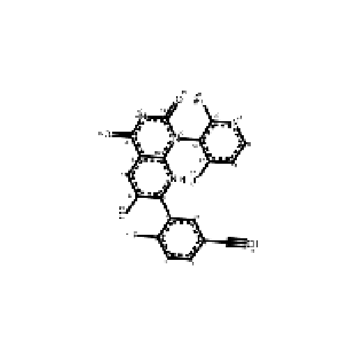 C#Cc1ccc(F)c(-c2nc3c(cc2Cl)c(=O)[nH]c(=O)n3-c2c(C)ccnc2C(C)C)c1